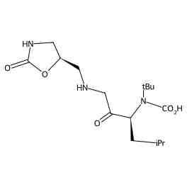 CC(C)C[C@@H](C(=O)CNC[C@@H]1CNC(=O)O1)N(C(=O)O)C(C)(C)C